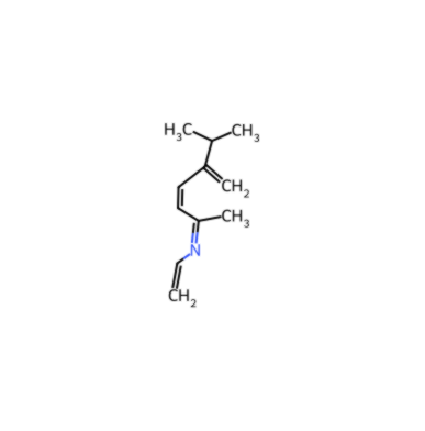 C=C/N=C(C)\C=C/C(=C)C(C)C